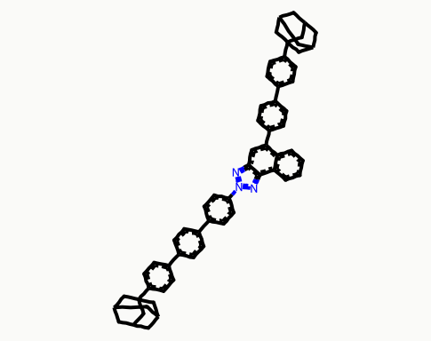 c1ccc2c(c1)c(-c1ccc(-c3ccc(C45CC6CC(CC(C6)C4)C5)cc3)cc1)cc1nn(-c3ccc(-c4ccc(-c5ccc(C67CC8CC(CC(C8)C6)C7)cc5)cc4)cc3)nc12